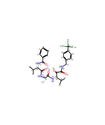 CC(C)[C@H](NC(=O)c1ccccc1)C(=O)N[C@@H](C)C(=O)N[C@H](C(=O)C(=O)NCc1ccc(C(F)(F)F)cc1)C(C)C